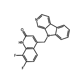 O=c1cc(Cn2c3ccccc3c3ccncc32)c2ccc(F)c(F)c2[nH]1